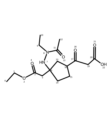 CCOC(=O)CC1(NN(CC)C(C)=O)CCC(C(=O)CC(=O)O)C1